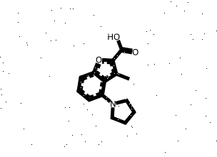 Cc1c(C(=O)O)oc2cccc(N3CCCC3)c12